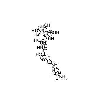 Nc1nc2ncc(CNc3ccc(C(=O)NC(CCC(=O)N[C@@H](CC(=O)O)C(=O)NCC(=O)N[C@@H](CC(=O)O)C(=O)N[C@@H](CC(=O)O)C(=O)N[C@@H](CS)C(=O)O)C(=O)O)cc3)nc2c(=O)[nH]1